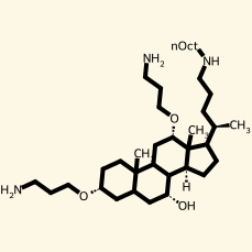 CCCCCCCCNCCC[C@@H](C)C1CC[C@H]2C3C(C[C@H](OCCCN)C12C)C1(C)CC[C@@H](OCCCN)CC1C[C@H]3O